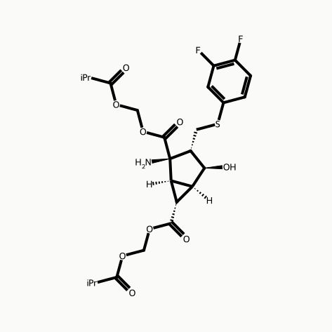 CC(C)C(=O)OCOC(=O)[C@H]1[C@@H]2[C@H](O)[C@@H](CSc3ccc(F)c(F)c3)[C@@](N)(C(=O)OCOC(=O)C(C)C)[C@H]12